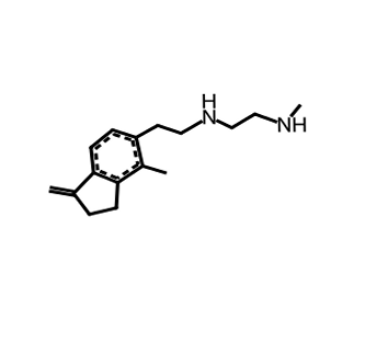 C=C1CCc2c1ccc(CCNCCNC)c2C